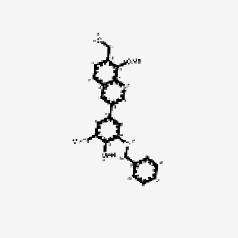 COc1cc(-c2cnc3c(OC)c(CO)ccc3c2)cc(OCc2ccccc2)c1OC